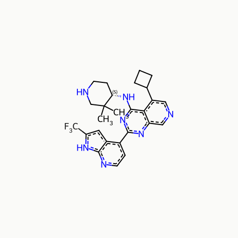 CC1(C)CNCC[C@@H]1Nc1nc(-c2ccnc3[nH]c(C(F)(F)F)cc23)nc2cncc(C3CCC3)c12